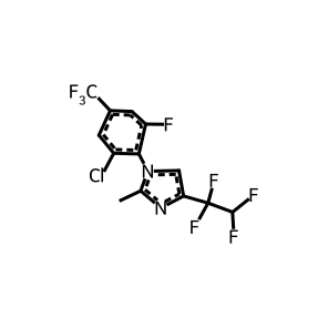 Cc1nc(C(F)(F)C(F)F)cn1-c1c(F)cc(C(F)(F)F)cc1Cl